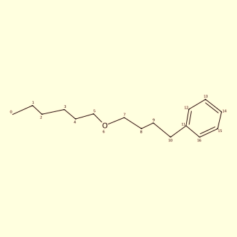 CCCCCCOCCCCc1ccccc1